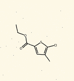 CCOC(=O)c1cc(C)c(Cl)s1